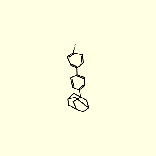 Clc1ccc(-c2ccc(C34CC5CC(CC(C5)C3)C4)cc2)cc1